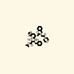 CC(C)OC(=O)[C@H](O)[C@H](CC1CCCCC1)NC(=O)[C@@H](CC(=O)N(CC(=O)N1CCOCC1)CC1CCCCC1)Cc1cscn1